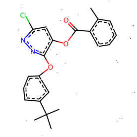 Cc1ccccc1C(=O)Oc1cc(Cl)nnc1Oc1cccc(C(C)(C)C)c1